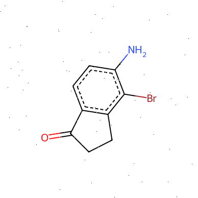 Nc1ccc2c(c1Br)CCC2=O